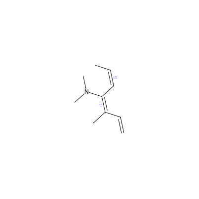 C=C/C(C)=C(\C=C/C)N(C)C